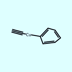 C#[C][Cu][c]1ccccc1